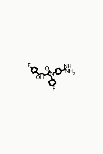 N=C(N)c1ccc(N2C(=O)C(CCC(O)c3ccc(F)cc3)C2c2ccc(F)cc2)cc1